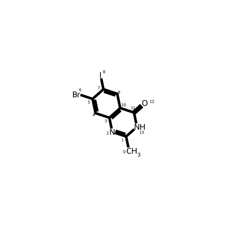 Cc1nc2cc(Br)c(I)cc2c(=O)[nH]1